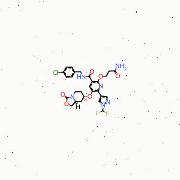 NC(=O)CCOc1nc(-c2cnn(C(F)F)c2)c(O[C@H]2CCN3C(=O)OC[C@@H]3C2)cc1C(=O)NCc1ccc(Cl)cc1